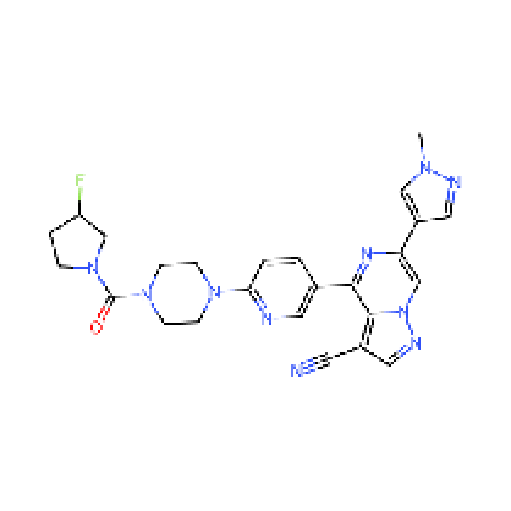 Cn1cc(-c2cn3ncc(C#N)c3c(-c3ccc(N4CCN(C(=O)N5CCC(F)C5)CC4)nc3)n2)cn1